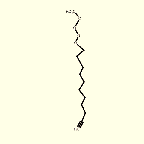 C#CCCCCCCCCCOOOOC(=O)O